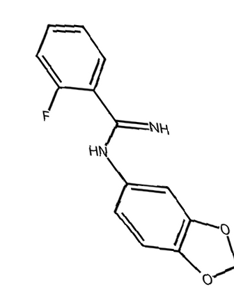 N=C(Nc1ccc2c(c1)OCO2)c1ccccc1F